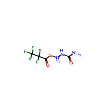 NC(=O)NNSC(=O)C(F)(F)C(F)(F)F